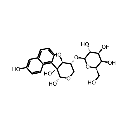 OC[C@H]1O[C@@H](O[C@@H]2CO[C@H](O)[C@@](O)(c3cccc4cc(O)ccc34)[C@H]2O)[C@H](O)[C@@H](O)[C@H]1O